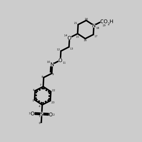 CS(=O)(=O)c1ccc(CC=NOCCOC2CCN(C(=O)O)CC2)cc1